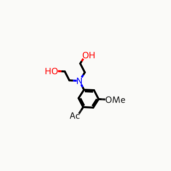 COc1cc(C(C)=O)cc(N(CCO)CCO)c1